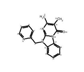 Cc1nc2n(Cc3ccccn3)c3ccccc3n2c(=O)c1C